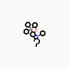 C=C/C=C\c1c(C)c2ccc3c(c2n1-c1ccccc1)Oc1ccccc1[Si]3(c1ccccc1)c1ccccc1